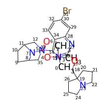 CC(C)(C)OC(=O)N1C2CCC1CN(c1nc(OCC34CCCN3CCC4)nc3cc(Br)ccc13)C2